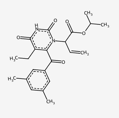 C=CC(C(=O)OC(C)C)n1c(C(=O)c2cc(C)cc(C)c2)c(CC)c(=O)[nH]c1=O